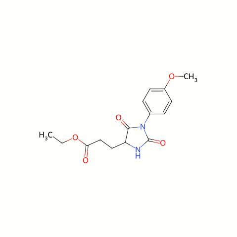 CCOC(=O)CCC1NC(=O)N(c2ccc(OC)cc2)C1=O